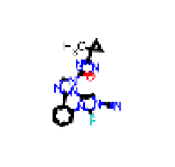 CC1(c2noc(N3CN=C4c5ccccc5N5C(=CN(C#N)C5F)N43)n2)CC1